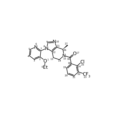 CCOc1cccnc1-n1cnc2c1CCN(C(=O)c1cccc(C(F)(F)F)c1Cl)[C@@H]2C